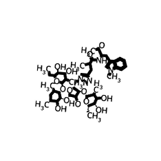 CCC1O[C@H](O[C@@H]2C(C)C[C@@H](C)C(O)[C@H]2O[C@@H]2O[C@H](Cn3cc(CC(C)C(=O)NC(Cc4cn(C)c5ccccc45)C(C)=O)nn3)[C@H](O[C@H]3O[C@@H](CC)[C@@H](O)C(O)C3C)C2O)C(C)[C@@H](O)[C@@H]1O